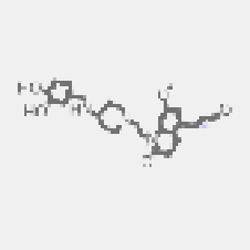 COc1cc(/C=C/C=O)c2ccc(=O)n(CCN3CCC(NCc4ccc(O)c(O)c4)CC3)c2c1